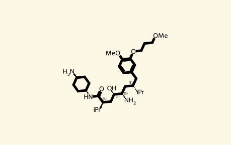 COCCCOc1cc(C[C@@H](C[C@H](N)[C@@H](O)C[C@H](C(=O)N[C@H]2CC[C@H](N)CC2)C(C)C)C(C)C)ccc1OC